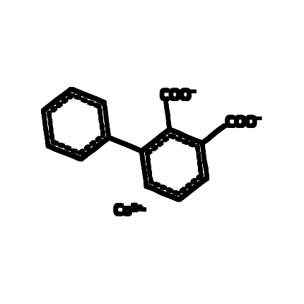 O=C([O-])c1cccc(-c2ccccc2)c1C(=O)[O-].[Co+2]